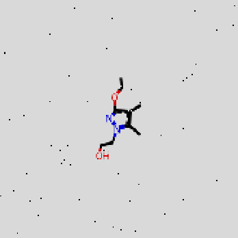 CCOc1nn(CCO)c(C)c1C